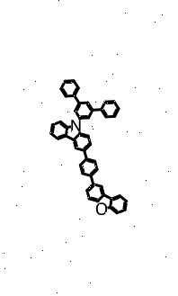 c1ccc(-c2cc(-c3ccccc3)cc(-n3c4ccccc4c4cc(-c5ccc(-c6ccc7oc8ccccc8c7c6)cc5)ccc43)c2)cc1